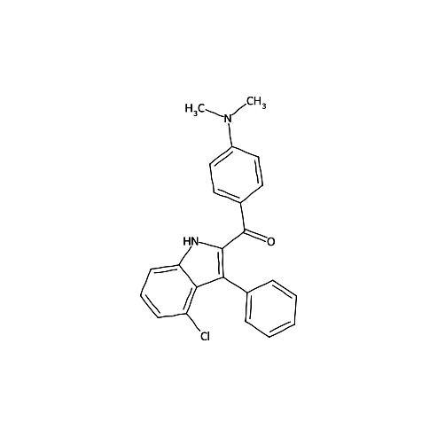 CN(C)c1ccc(C(=O)c2[nH]c3cccc(Cl)c3c2-c2ccccc2)cc1